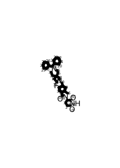 O=C1CCC(N2Cc3cc(CN4CCC5(CCN(C(c6ccccc6)c6ccccc6)CC5)C4)c(F)cc3C2=O)C(=O)N1